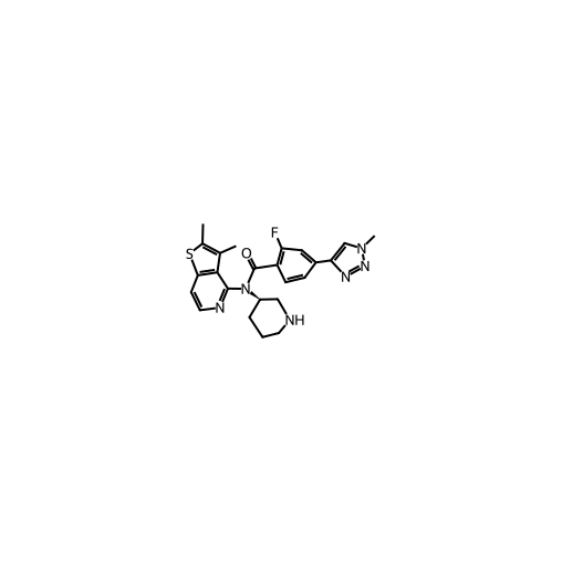 Cc1sc2ccnc(N(C(=O)c3ccc(-c4cn(C)nn4)cc3F)[C@@H]3CCCNC3)c2c1C